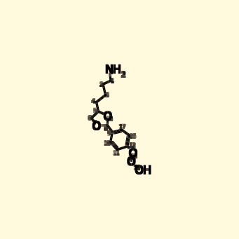 NCCCCC1COC(c2ccc(OOO)cc2)O1